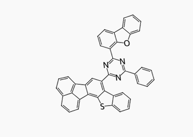 c1ccc(-c2nc(-c3cccc4c3oc3ccccc34)nc(-c3cc4c(c5sc6ccccc6c35)-c3cccc5cccc-4c35)n2)cc1